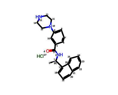 C[C@@H](NC(=O)c1cccc(N2CCNCC2)c1)c1cccc2ccccc12.Cl